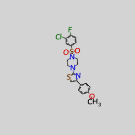 COc1ccc(-c2csc(N3CCN(S(=O)(=O)c4ccc(F)c(Cl)c4)CC3)n2)cc1